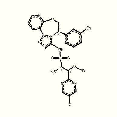 CC(C)O[C@@H](c1ncc(Cl)cn1)[C@H](C)S(=O)(=O)Nc1nnc2n1[C@H](c1cccc(C#N)c1)COc1ncccc1-2